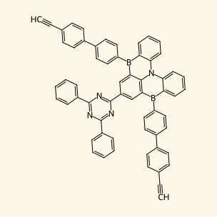 C#Cc1ccc(-c2ccc(B3c4ccccc4N4c5ccccc5B(c5ccc(-c6ccc(C#C)cc6)cc5)c5cc(-c6nc(-c7ccccc7)nc(-c7ccccc7)n6)cc3c54)cc2)cc1